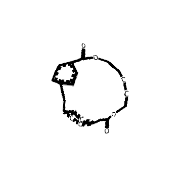 O=C1OCCCCCOC(=O)c2ccc(cc2)-c2ccc1cc2